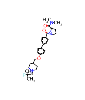 CN(C)C(=O)[C@H]1CCCN1C(=O)c1ccc(-c2ccc(OCC3CCN(CC(C)(C)F)CC3)cc2)cc1